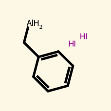 I.I.[AlH2][CH2]c1ccccc1